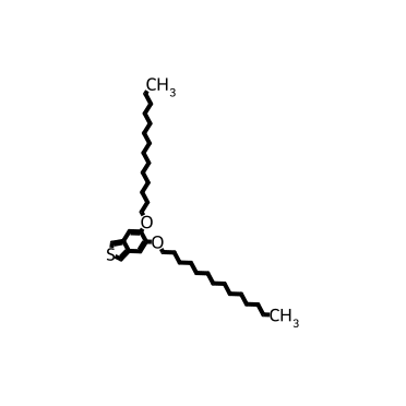 CCCCCCCCCCCCCCOc1cc2cscc2cc1OCCCCCCCCCCCCCC